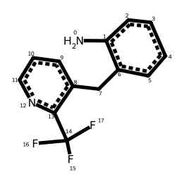 Nc1ccccc1Cc1cccnc1C(F)(F)F